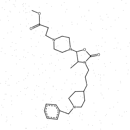 COC(=O)CCN1CCN(C2OC(=O)N(CCCC3CCN(Cc4ccccc4)CC3)C2C)CC1